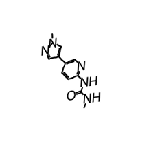 CNC(=O)Nc1ccc(-c2cnn(C)c2)cn1